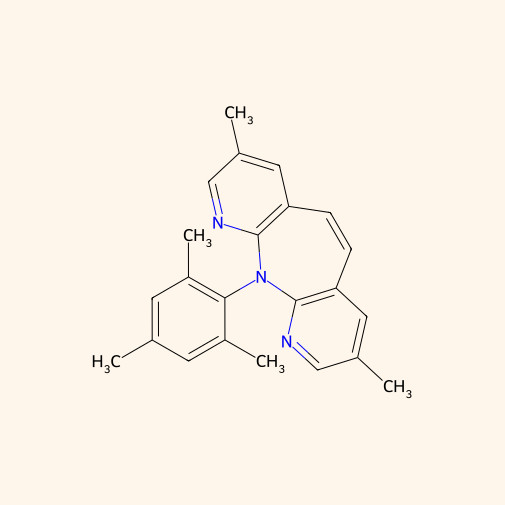 Cc1cc(C)c(N2c3ncc(C)cc3C=Cc3cc(C)cnc32)c(C)c1